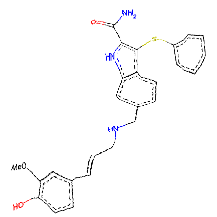 COc1cc(C=CCNCc2ccc3c(Sc4ccccc4)c(C(N)=O)[nH]c3c2)ccc1O